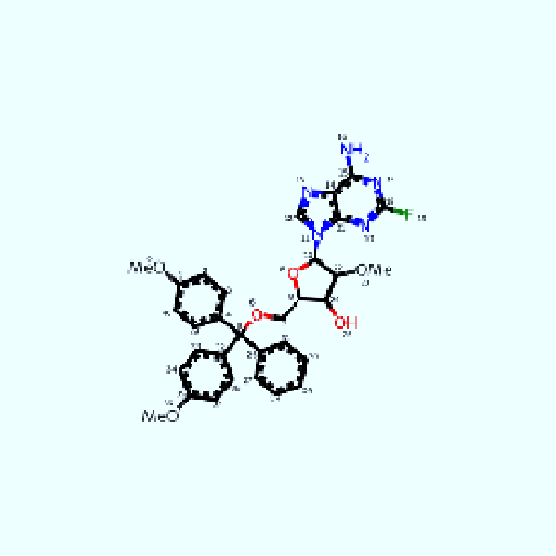 COc1ccc(C(OC[C@H]2O[C@@H](n3cnc4c(N)nc(F)nc43)C(OC)C2O)(c2ccccc2)c2ccc(OC)cc2)cc1